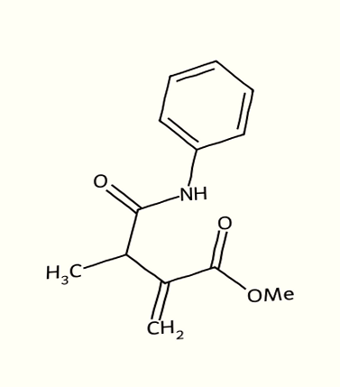 C=C(C(=O)OC)C(C)C(=O)Nc1ccccc1